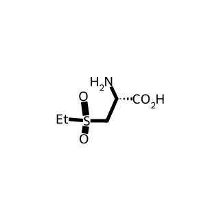 CCS(=O)(=O)C[C@H](N)C(=O)O